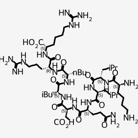 CCCC[C@H](NC(=O)[C@@H](NC(=O)[C@H](CC(=O)O)NC(=O)[C@H](CCC(N)=O)NC(=O)[C@H](CC(C)C)NC(=O)[C@H](CC(C)C)NC(=O)[C@@H](N)CCCCN)[C@@H](C)CC)C(=O)N[C@H](CCCNC(=N)N)C(=O)N[C@@H](CCCCNC(=N)N)C(=O)O